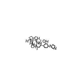 CN(c1ccc(-c2ccc(-n3ccnc3)cc2O)nn1)[C@H]1C[C@@H]2CC[C@@](C)(N2)[C@H]1F